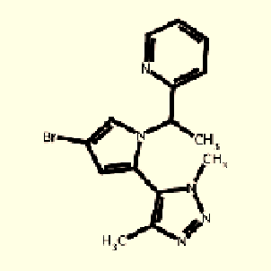 Cc1nnn(C)c1-c1cc(Br)cn1C(C)c1ccccn1